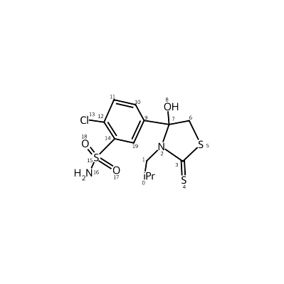 CC(C)CN1C(=S)SCC1(O)c1ccc(Cl)c(S(N)(=O)=O)c1